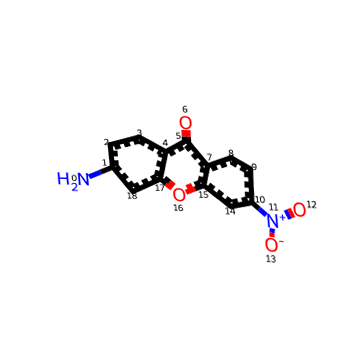 Nc1ccc2c(=O)c3ccc([N+](=O)[O-])cc3oc2c1